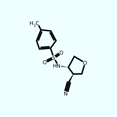 Cc1ccc(S(=O)(=O)N[C@@H]2COC[C@H]2C#N)cc1